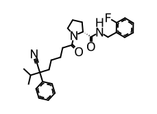 CC(C)C(C#N)(CCCCC(=O)N1CCC[C@@H]1C(=O)NCc1ccccc1F)c1ccccc1